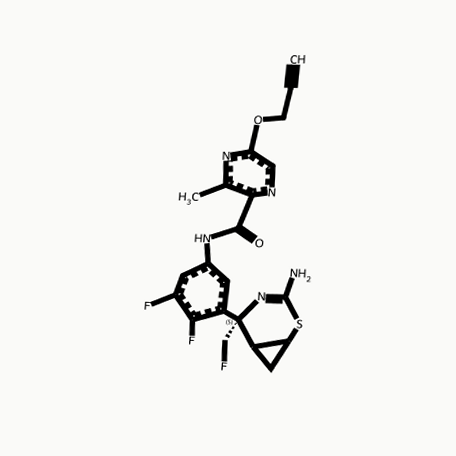 C#CCOc1cnc(C(=O)Nc2cc(F)c(F)c([C@@]3(CF)N=C(N)SC4CC43)c2)c(C)n1